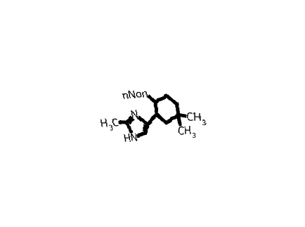 CCCCCCCCCC1CCC(C)(C)CC1c1c[nH]c(C)n1